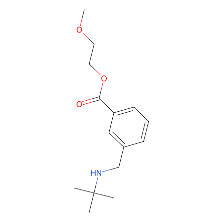 COCCOC(=O)c1cccc(CNC(C)(C)C)c1